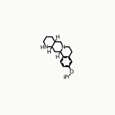 CC(C)Oc1ccc2c(c1)CCN1C[C@H]3CCCN[C@H]3C[C@@H]21